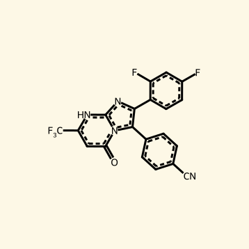 N#Cc1ccc(-c2c(-c3ccc(F)cc3F)nc3[nH]c(C(F)(F)F)cc(=O)n23)cc1